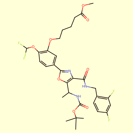 COC(=O)CCCCOc1cc(-c2nc(C(=O)NCc3ccc(F)cc3F)c(C(C)NC(=O)OC(C)(C)C)o2)ccc1OC(F)F